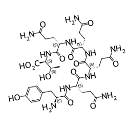 C[C@@H](O)[C@H](NC(=O)[C@H](CCC(N)=O)NC(=O)[C@H](CCC(N)=O)NC(=O)[C@H](CCC(N)=O)NC(=O)[C@H](CCC(N)=O)NC(=O)[C@@H](N)Cc1ccc(O)cc1)C(=O)O